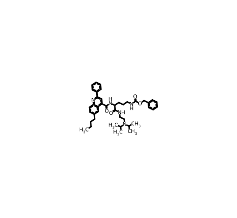 CCCCc1ccc2nc(-c3ccccc3)cc(C(=O)NC(CCCNC(=O)OCc3ccccc3)C(=O)NCCN(C(C)C)C(C)C)c2c1